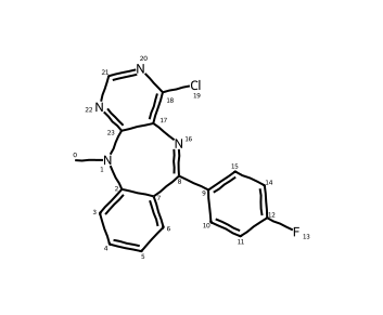 CN1c2ccccc2C(c2ccc(F)cc2)=Nc2c(Cl)ncnc21